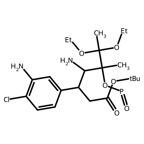 CCOC(C)(OCC)C(C)(OP=O)C(N)C(CC(=O)OC(C)(C)C)c1ccc(Cl)c(N)c1